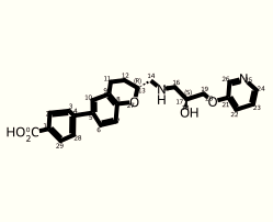 O=C(O)c1ccc(-c2ccc3c(c2)CC[C@H](CNC[C@H](O)COc2cccnc2)O3)cc1